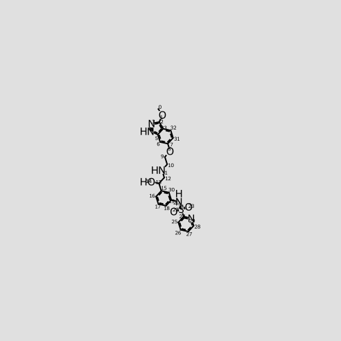 COc1n[nH]c2cc(OCCNCC(O)c3cccc(NS(=O)(=O)c4ccccn4)c3)ccc12